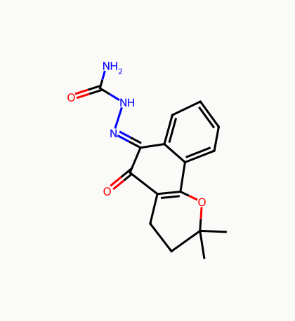 CC1(C)CCC2=C(O1)c1ccccc1/C(=N\NC(N)=O)C2=O